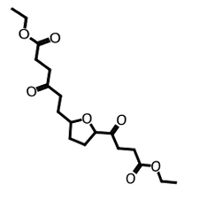 CCOC(=O)CCC(=O)CCC1CCC(C(=O)CCC(=O)OCC)O1